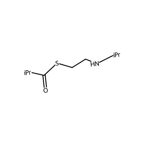 CC(C)NCCSC(=O)C(C)C